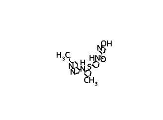 CCCc1ccc2c(Nc3cc(C)ccc3Sc3cccc(NC(=O)c4ccc(O)nc4)c3)ccnc2n1